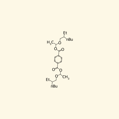 CCCCC(CC)COC(C)OC(=O)c1ccc(C(=O)OC(C)OCC(CC)CCCC)cc1